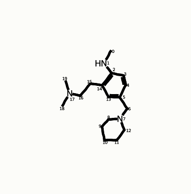 CNc1ccc(CN2CCCCC2)cc1CCN(C)C